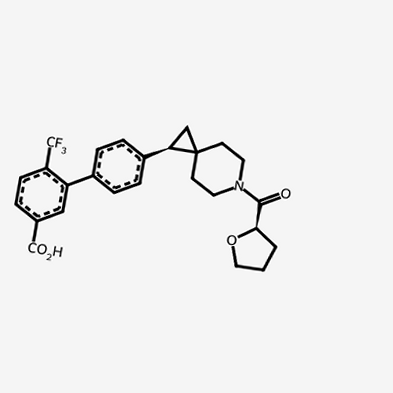 O=C(O)c1ccc(C(F)(F)F)c(-c2ccc([C@H]3CC34CCN(C(=O)[C@H]3CCCO3)CC4)cc2)c1